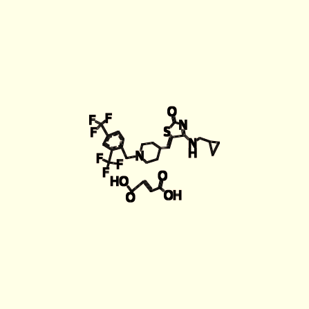 O=C(O)/C=C/C(=O)O.O=C1N=C(NCC2CC2)/C(=C/C2CCN(Cc3ccc(C(F)(F)F)cc3C(F)(F)F)CC2)S1